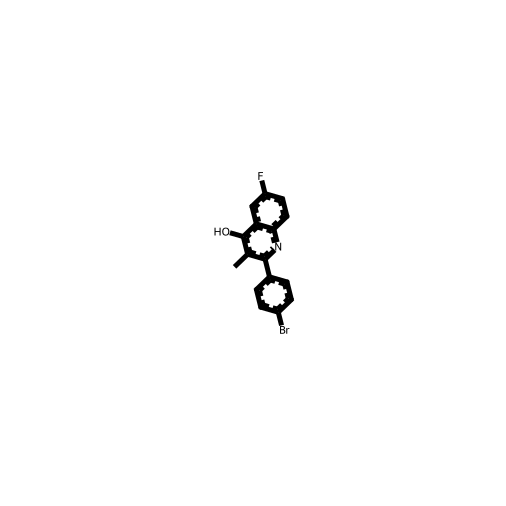 Cc1c(-c2ccc(Br)cc2)nc2ccc(F)cc2c1O